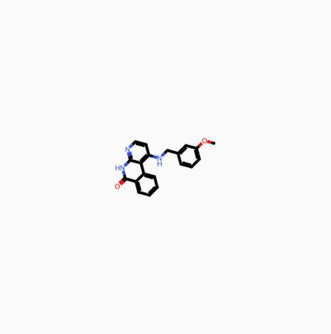 COc1cccc(CNc2ccnc3[nH]c(=O)c4ccccc4c23)c1